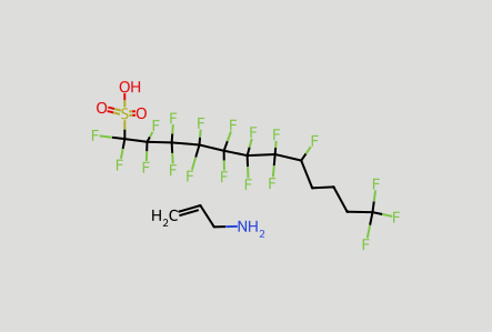 C=CCN.O=S(=O)(O)C(F)(F)C(F)(F)C(F)(F)C(F)(F)C(F)(F)C(F)(F)C(F)(F)C(F)CCCC(F)(F)F